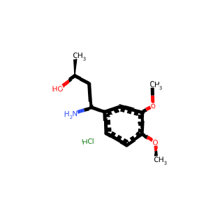 COc1ccc(C(N)C[C@H](C)O)cc1OC.Cl